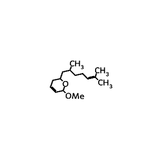 COC1C=CCC(CC(C)CCC=C(C)C)O1